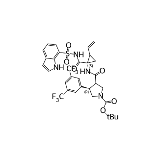 C=CC1C[C@@]1(NC(=O)C1CN(C(=O)OC(C)(C)C)C[C@H]1c1cc(C(F)(F)F)cc(C(F)(F)F)c1)C(=O)NS(=O)(=O)c1cccc2cc[nH]c12